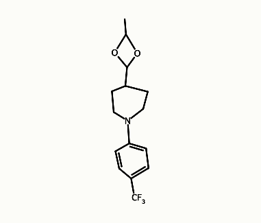 CC1OC(C2CCN(c3ccc(C(F)(F)F)cc3)CC2)O1